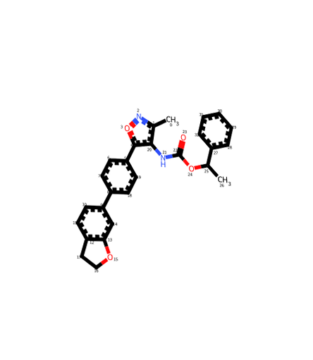 Cc1noc(-c2ccc(-c3ccc4c(c3)OCC4)cc2)c1NC(=O)OC(C)c1ccccc1